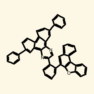 c1ccc(-c2ccc3c4ccc(-c5ccccc5)cc4c4nc(-c5ccccc5-c5cc6ccccc6c6c5oc5ccccc56)cnc4c3c2)cc1